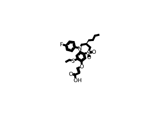 CCCC[C@@H]1CN(c2ccc(F)cc2)c2cc(SCC)c(O/C=C/C(=O)O)cc2S(=O)(=O)C1